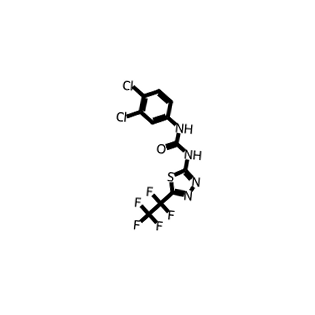 O=C(Nc1ccc(Cl)c(Cl)c1)Nc1nnc(C(F)(F)C(F)(F)F)s1